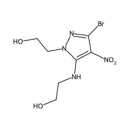 O=[N+]([O-])c1c(Br)nn(CCO)c1NCCO